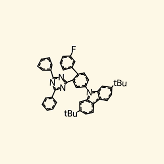 CC(C)(C)c1ccc2c3ccc(C(C)(C)C)cc3n(-c3ccc(-c4cccc(F)c4)c(-c4nc(-c5ccccc5)nc(-c5ccccc5)n4)c3)c2c1